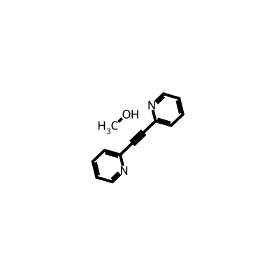 C(#Cc1ccccn1)c1ccccn1.CO